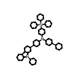 c1ccc(-c2ccc(N(c3ccc(-c4ccc5c6ccccc6n(-c6ccccc6)c5c4)cc3)c3ccc([Si](c4ccccc4)(c4ccccc4)c4ccccc4)cc3)cc2)cc1